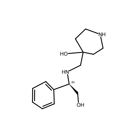 OC[C@H](NCC1(O)CCNCC1)c1ccccc1